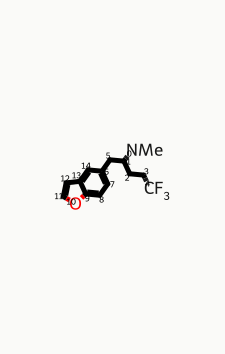 CNC(CCC(F)(F)F)Cc1ccc2occc2c1